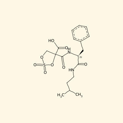 CC(C)CCNC(=O)[C@H](Cc1ccccc1)NC(=O)C1(C(=O)O)COS(=O)(=O)O1